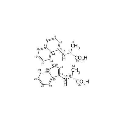 C[C@@H](Nc1cccc2ccccc12)C(=O)O.C[C@@H](Nc1csc2ccccc12)C(=O)O